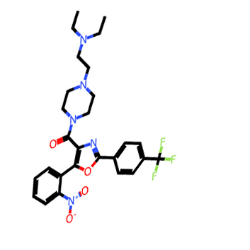 CCN(CC)CCN1CCN(C(=O)c2nc(-c3ccc(C(F)(F)F)cc3)oc2-c2ccccc2[N+](=O)[O-])CC1